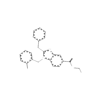 CCOC(=O)c1ccc2c(c1)nc(Cc1ccccc1)n2Cc1ccccc1Cl